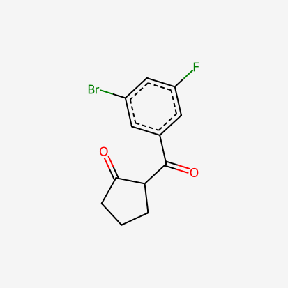 O=C1CCCC1C(=O)c1cc(F)cc(Br)c1